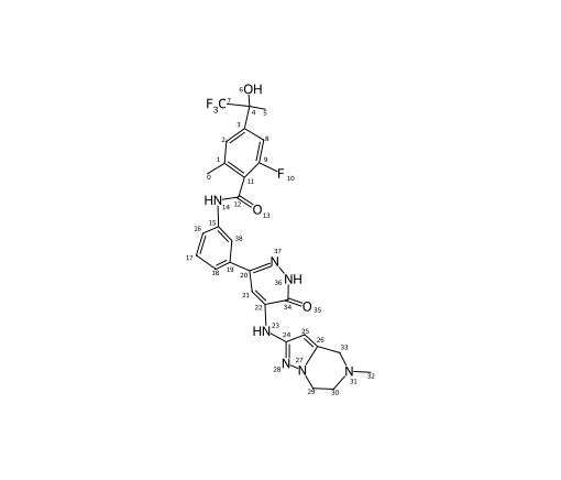 Cc1cc(C(C)(O)C(F)(F)F)cc(F)c1C(=O)Nc1cccc(-c2cc(Nc3cc4n(n3)CCN(C)C4)c(=O)[nH]n2)c1